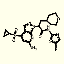 Nc1cc(S(=O)(=O)C2CC2)c2cnn(C(CC3CCOCC3)C(=O)Nc3ncc(F)s3)c2n1